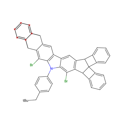 CC(C)(C)Cc1ccc(-n2c3c(Br)c4c(cc3c3cc5c(c(Br)c32)C2c3ccccc3C23c2ccccc2C53)C2c3ccccc3C4c3ccccc32)cc1